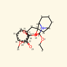 CCOC(=O)N1C2CCCC1C(Cc1ccccc1)(OC(=O)C(=O)OC)C2